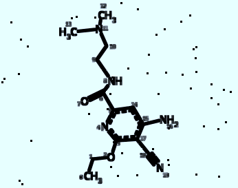 CCOc1nc(C(=O)NCCN(C)C)cc(N)c1C#N